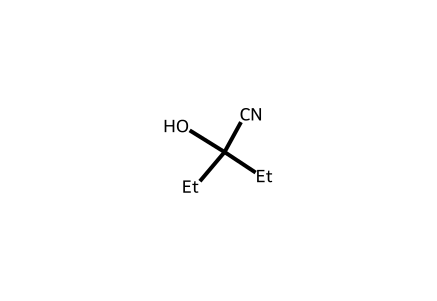 [CH2]CC(O)(C#N)CC